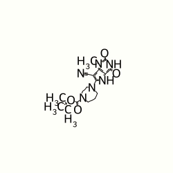 Cn1c(=O)[nH]c(=O)c2[nH]c(N3CCCN(C(=O)OC(C)(C)C)CC3)c(C#N)c21